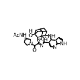 CC(=O)N[C@H]1CCN(C(=O)c2noc(-c3cnc4[nH]ccc4c3N[C@H]3C4CC5CC3C[C@@](O)(C5)C4)n2)C1